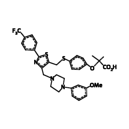 COc1cccc(N2CCN(Cc3nc(-c4ccc(C(F)(F)F)cc4)sc3CSc3ccc(OC(C)(C)C(=O)O)cc3)CC2)c1